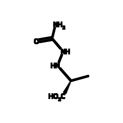 C[C@@H](NNC(N)=O)C(=O)O